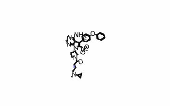 CN(C/C=C/C(=O)N1CC[C@@H](n2c([N+](=O)[O-])c(-c3ccc(Oc4ccccc4)cc3)c3c(N)ncnc32)C1)C1CC1